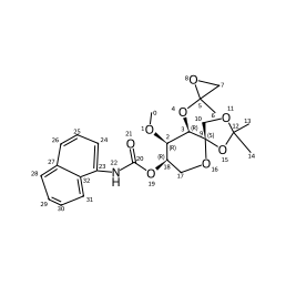 CO[C@H]1[C@@H](OC2(C)CO2)[C@@]2(COC(C)(C)O2)OC[C@H]1OC(=O)Nc1cccc2ccccc12